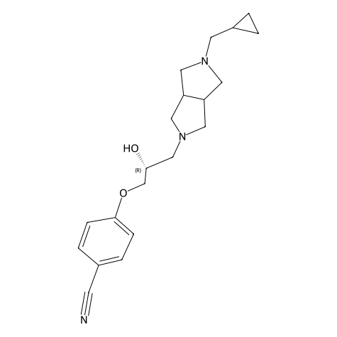 N#Cc1ccc(OC[C@H](O)CN2CC3CN(CC4CC4)CC3C2)cc1